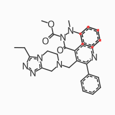 CCc1nnc2n1CCN(Cc1c(-c3ccccc3)nc3ccccc3c1C(=O)N(C(=O)OC)N(C)c1ccccc1)C2